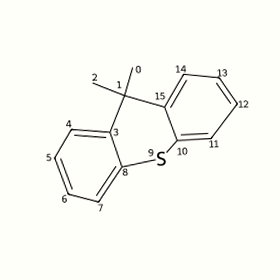 CC1(C)c2ccccc2Sc2ccccc21